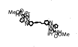 COC(=O)N[C@H](C(=O)N1CCC[C@H]1c1nc2ccc(C#CCCc3ccc4nc([C@@H]5CCCN5C(=O)[C@@H](NC(=O)OC)C(C)C)[nH]c4c3)cc2[nH]1)C(C)C